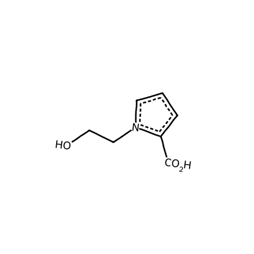 O=C(O)c1cccn1CCO